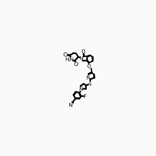 N#Cc1ccc(N2CCC(Sc3ccc(COc4cccc5c4CN(C4CCC(=O)NC4=O)C5=O)cn3)C2)c(F)c1